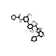 CCC/N=C(/c1nc2c(-c3cccnc3)cncc2[nH]1)c1cc(-c2cc(C)cc(NC(=O)C3CCCC3)c2)ccc1C